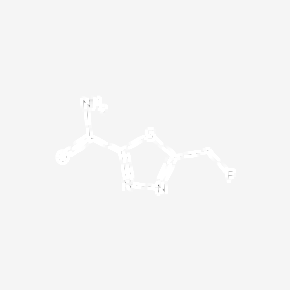 NC(=O)c1nnc(CF)s1